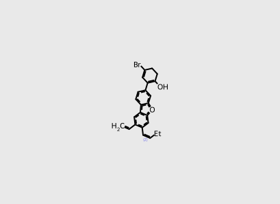 C=Cc1cc2c(cc1/C=C\CC)oc1cc(C3=C(O)CCC(Br)=C3)ccc12